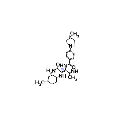 CC(=N)/C(NC(=O)c1ccc(N2CCN(C)CC2)cc1)=C(\N[C@H]1CC[C@@H](C)CC1)C(N)=O